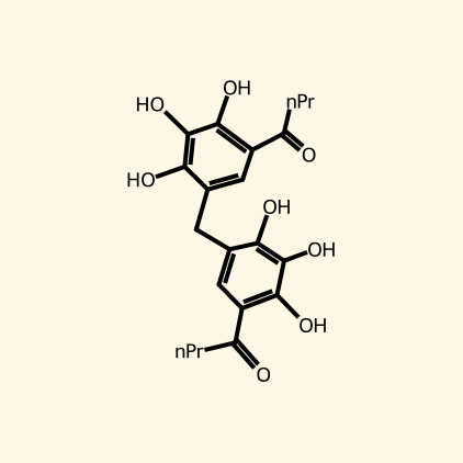 CCCC(=O)c1cc(Cc2cc(C(=O)CCC)c(O)c(O)c2O)c(O)c(O)c1O